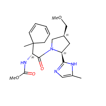 COC[C@H]1C[C@@H](c2ncc(C)[nH]2)N(C(=O)[C@H](NC(=O)OC)C2(C)C=CC=CC2)C1